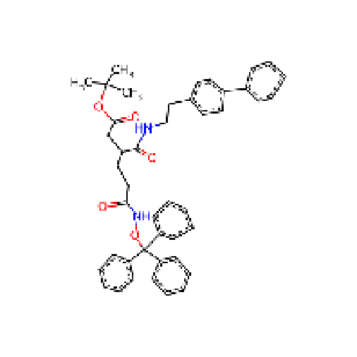 CC(C)(C)OC(=O)CC(CCC(=O)NOC(c1ccccc1)(c1ccccc1)c1ccccc1)C(=O)NCCc1ccc(-c2ccccc2)cc1